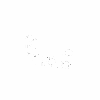 CN(c1ccnc(NC2CCN(C(=O)CNC(=O)OC(C)(C)C)CC2)n1)c1ccnc(-c2ccccc2)n1